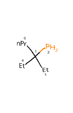 CCCC(P)(CC)CC